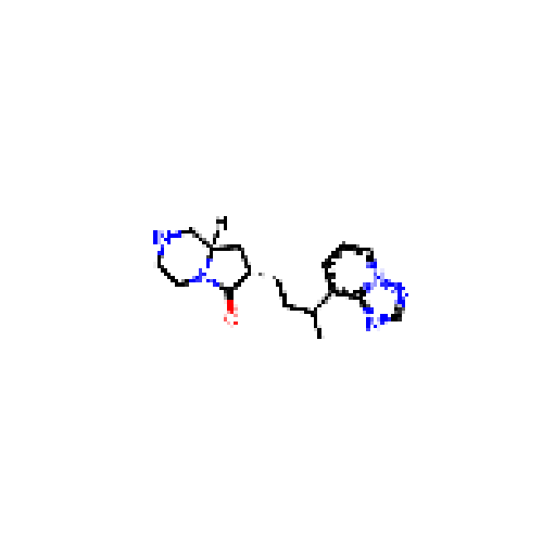 CC(CC[C@H]1C[C@H]2CNCCN2C1=O)c1cccn2ncnc12